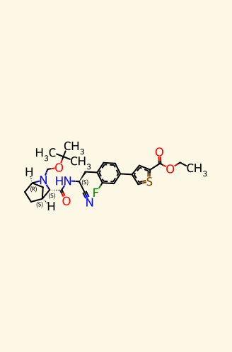 CCOC(=O)c1cc(-c2ccc(C[C@@H](C#N)NC(=O)[C@@H]3[C@H]4CC[C@H](C4)N3COC(C)(C)C)c(F)c2)cs1